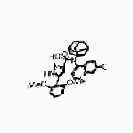 COc1cccc(OC)c1-c1cc(C(=O)N(c2ccnc3cc(Cl)ccc23)C23CC4CC(CC(C4)C2C(=O)O)C3)n[nH]1